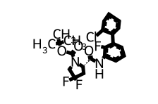 CC(C)(C)OC(=O)N1CC(F)(F)C[C@H]1C(=O)Nc1cccc(-c2ccccc2Cl)c1F